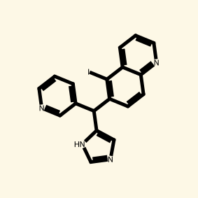 Ic1c(C(c2cccnc2)c2cnc[nH]2)ccc2ncccc12